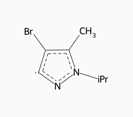 Cc1c(Br)[c]nn1C(C)C